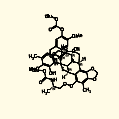 COc1cc2c(cc1OC(=O)OC(C)(C)C)CCN[C@]21CS[C@@H]2c3c(OOC[C@H](C)NC(=O)OC(C)(C)C)c(C)c4c(c3[C@H](COC1=O)N1C2C2c3c(cc(C)c(OC)c3O)C[C@@H]([C@@H]1C#N)N2C)OCO4